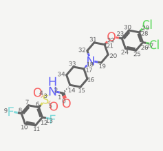 O=C(NS(=O)(=O)c1cc(F)ccc1F)[C@H]1CC[C@H](N2CCC(Oc3ccc(Cl)c(Cl)c3)CC2)CC1